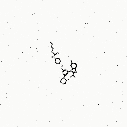 CCCCOC(=O)N[C@H]1CC[C@H](CNc2nc(N3CCOC[C@@H]3C)cc(-n3c(C(F)F)nc4ccc(C)cc43)n2)CC1